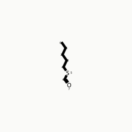 CCCCCSC=O